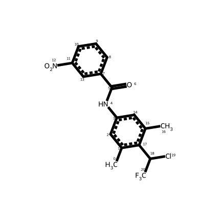 Cc1cc(NC(=O)c2cccc([N+](=O)[O-])c2)cc(C)c1C(Cl)C(F)(F)F